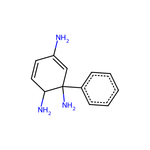 NC1=CC(N)(c2ccccc2)C(N)C=C1